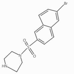 O=S(=O)(c1ccc2cc(Br)ccc2c1)N1CCNCC1